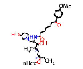 C=C/C(=C\C=C(/C)[C@@H](O)[C@@H](CN1CC[C@H](O)C1)NC(=O)CCCCCC(=O)c1ccc(OC)cc1)OCCCCCC